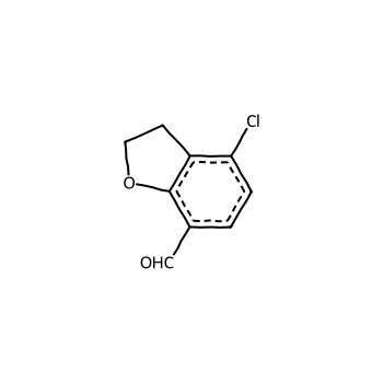 O=Cc1ccc(Cl)c2c1OCC2